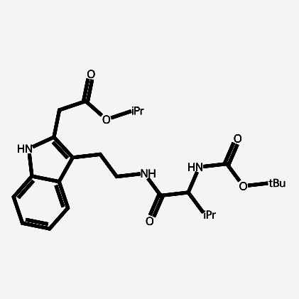 CC(C)OC(=O)Cc1[nH]c2ccccc2c1CCNC(=O)C(NC(=O)OC(C)(C)C)C(C)C